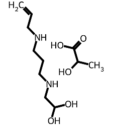 C=CCNCCCNCC(O)O.CC(O)C(=O)O